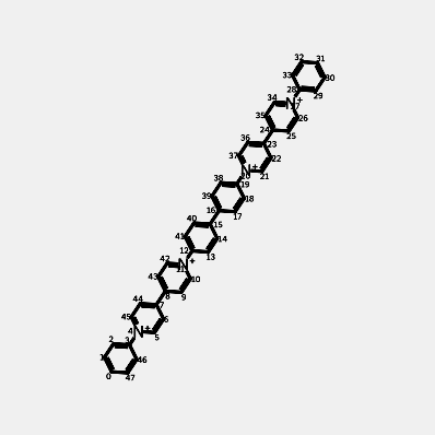 c1ccc(-[n+]2ccc(-c3cc[n+](-c4ccc(-c5ccc(-[n+]6ccc(-c7cc[n+](-c8ccccc8)cc7)cc6)cc5)cc4)cc3)cc2)cc1